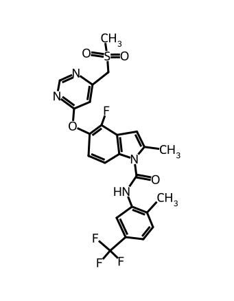 Cc1ccc(C(F)(F)F)cc1NC(=O)n1c(C)cc2c(F)c(Oc3cc(CS(C)(=O)=O)ncn3)ccc21